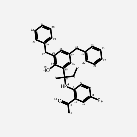 CCC(C)(Pc1ccc(F)cc1C(C)=O)c1cc(Cc2ccccc2)cc(Cc2ccccc2)c1O